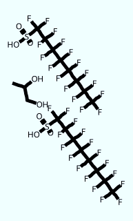 CC(O)CO.O=S(=O)(O)C(F)(F)C(F)(F)C(F)(F)C(F)(F)C(F)(F)C(F)(F)C(F)(F)C(F)(F)F.O=S(=O)(O)C(F)(F)C(F)(F)C(F)(F)C(F)(F)C(F)(F)C(F)(F)C(F)(F)C(F)(F)F